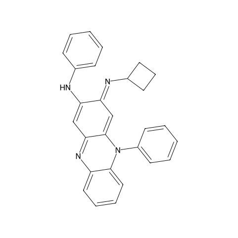 c1ccc(Nc2cc3nc4ccccc4n(-c4ccccc4)c-3cc2=NC2CCC2)cc1